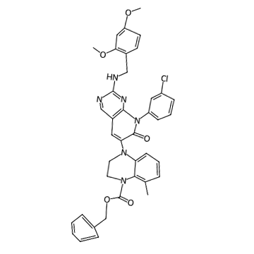 COc1ccc(CNc2ncc3cc(N4CCN(C(=O)OCc5ccccc5)c5c(C)cccc54)c(=O)n(-c4cccc(Cl)c4)c3n2)c(OC)c1